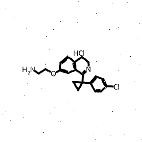 Cl.NCCOc1ccc2c(c1)C(C1(c3ccc(Cl)cc3)CC1)=NCC2